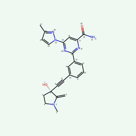 C=C1N(C)CC[C@@]1(O)C#Cc1cccc(-c2nc(C(N)=O)cc(-n3ccc(C)n3)n2)c1